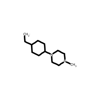 [CH2]CC1CCC(N2CCN(C)CC2)CC1